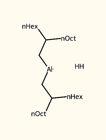 CCCCCCCCC(CCCCCC)[CH2][Al][CH2]C(CCCCCC)CCCCCCCC.[HH]